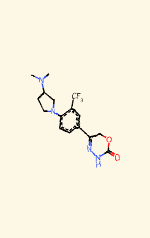 CN(C)C1CCN(c2ccc(C3=NNC(=O)OC3)cc2C(F)(F)F)C1